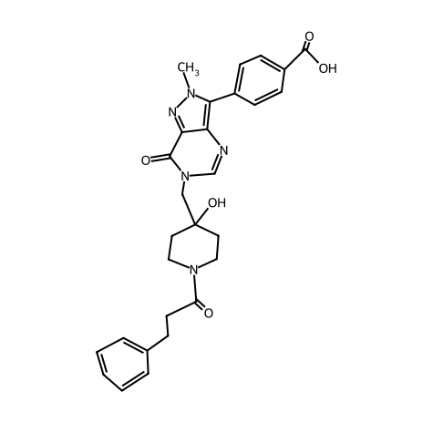 Cn1nc2c(=O)n(CC3(O)CCN(C(=O)CCc4ccccc4)CC3)cnc2c1-c1ccc(C(=O)O)cc1